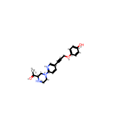 O=C(C1CN(c2ccc(C#CCOc3ccc(O)cc3)cn2)CCN1)C(F)(F)F